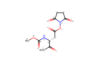 COC(=O)[C@@H](CC(=O)ON1C(=O)CCC1=O)NC(=O)OC(C)(C)C